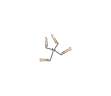 S=[CH][Ni]([CH]=S)([CH]=S)[CH]=S